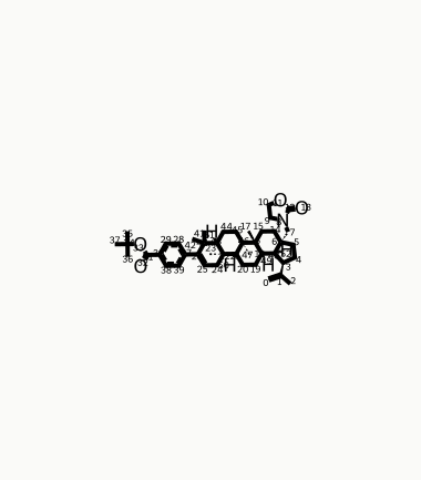 C=C(C)[C@@H]1CC[C@]2(CN3CCOC3=O)CC[C@]3(C)[C@H](CC[C@@H]4[C@@]5(C)CC=C(c6ccc(C(=O)OC(C)(C)C)cc6)C(C)(C)[C@@H]5CC[C@]43C)[C@@H]12